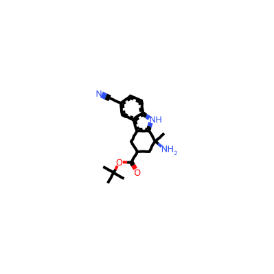 CC(C)(C)OC(=O)C1Cc2c([nH]c3ccc(C#N)cc23)C(C)(N)C1